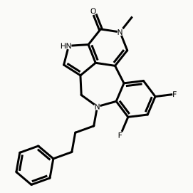 Cn1cc2c3c(c[nH]c3c1=O)CN(CCCc1ccccc1)c1c(F)cc(F)cc1-2